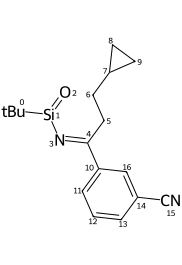 CC(C)(C)[Si](=O)/N=C(\CCC1CC1)c1cccc(C#N)c1